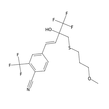 COCCCSCC(O)(/C=C/c1ccc(C#N)c(C(F)(F)F)c1)C(F)(F)F